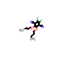 CCCCOc1c(C#N)c(F)c(F)c(C#N)c1OCCCC